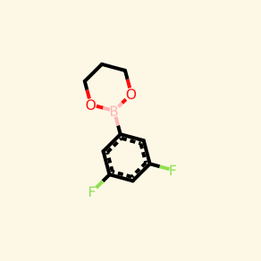 Fc1cc(F)cc(B2OCCCO2)c1